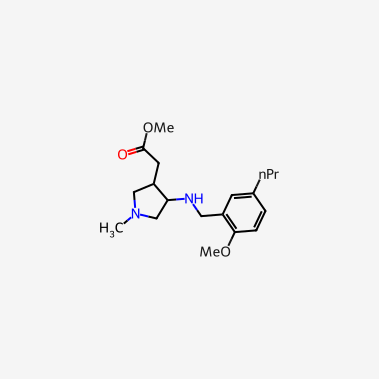 CCCc1ccc(OC)c(CNC2CN(C)CC2CC(=O)OC)c1